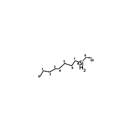 CCCCCCCC[SiH2]CC